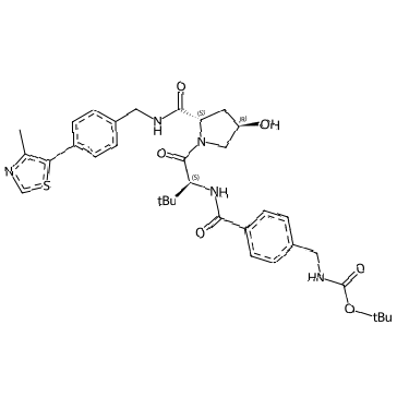 Cc1ncsc1-c1ccc(CNC(=O)[C@@H]2C[C@@H](O)CN2C(=O)[C@@H](NC(=O)c2ccc(CNC(=O)OC(C)(C)C)cc2)C(C)(C)C)cc1